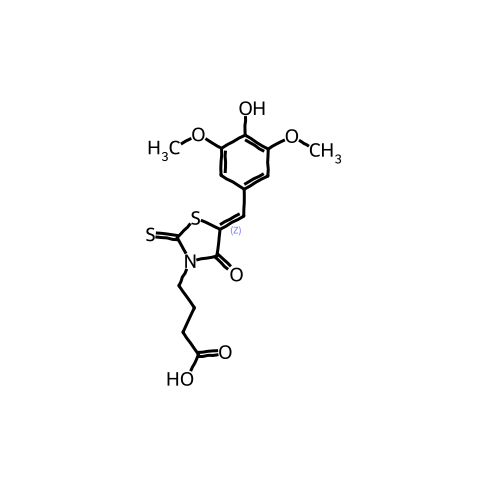 COc1cc(/C=C2\SC(=S)N(CCCC(=O)O)C2=O)cc(OC)c1O